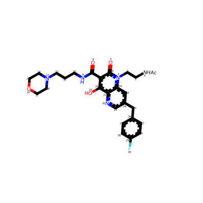 CC(=O)NCCn1c(=O)c(C(=O)NCCCN2CCOCC2)c(O)c2ncc(Cc3ccc(F)cc3)cc21